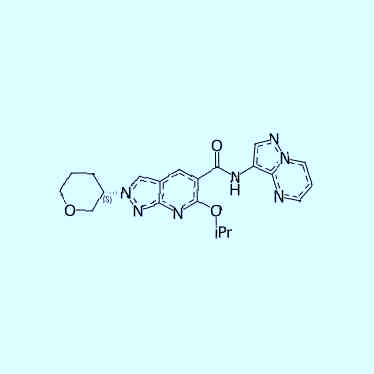 CC(C)Oc1nc2nn([C@H]3CCCOC3)cc2cc1C(=O)Nc1cnn2cccnc12